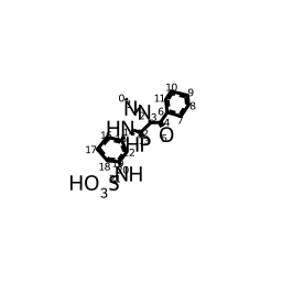 CN=NC(C(=O)c1ccccc1)C(=P)Nc1cccc(NS(=O)(=O)O)c1